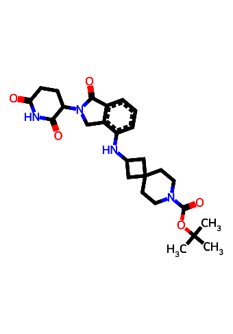 CC(C)(C)OC(=O)N1CCC2(CC1)CC(Nc1cccc3c1CN(C1CCC(=O)NC1=O)C3=O)C2